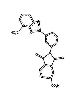 O=C(O)c1ccc2c(c1)C(=O)N(c1cccc(-c3nc4cccc(C(=O)O)c4o3)c1)C2=O